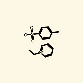 CC[n+]1ccccc1.Cc1ccc(S(=O)(=O)[O-])cc1